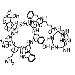 CC(O)C(NC(=O)[C@@H]1CSSC[C@H](NC(=O)C(Cc2ccccc2)NC(=O)CCCC(=O)N[C@]23CNCCNC[C@](N)(CNCCNC2)CNCCNC3)C(=O)NC(Cc2ccc(O)cc2)C(=O)NC(Cc2c[nH]c3ccccc23)C(=O)NC(CCCCN)C(=O)NC(C(C)O)C(=O)N1)C(=O)O